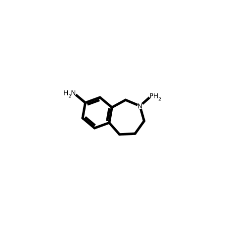 Nc1ccc2c(c1)CN(P)CCC2